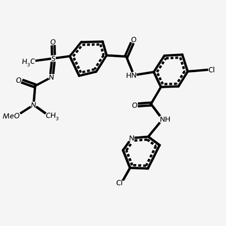 CON(C)C(=O)N=S(C)(=O)c1ccc(C(=O)Nc2ccc(Cl)cc2C(=O)Nc2ccc(Cl)cn2)cc1